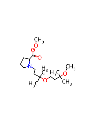 COOC(=O)C1CCCN1CCC(C)(C)OCCC(C)(C)OC